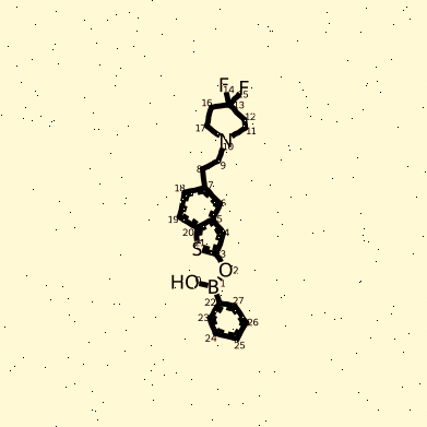 OB(Oc1cc2cc(CCN3CCC(F)(F)CC3)ccc2s1)c1ccccc1